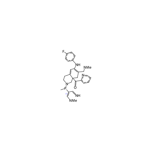 CN/C=C(\C=N)P(C)N1CCC2=CC(Nc3ccc(F)cc3)=C(CNC)CC2(C(=O)c2ccccn2)C1